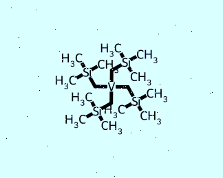 C[Si](C)(C)[CH2][V]([CH2][Si](C)(C)C)([CH2][Si](C)(C)C)[CH2][Si](C)(C)C